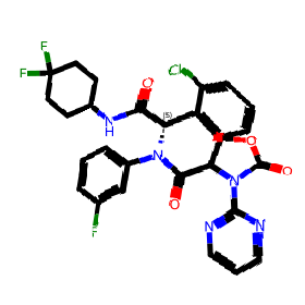 O=C(NC1CCC(F)(F)CC1)[C@H](c1ccccc1Cl)N(C(=O)C1COC(=O)N1c1ncccn1)c1cccc(F)c1